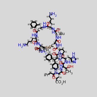 CC[C@H](C)[C@@H]1NC(=O)[C@@H](NC(=O)[C@@H]2CCCN2C(=O)[C@@H](NC(=O)[C@H](Cc2cnc[nH]2)NC(=O)[C@@H](NC(=O)[C@H](CCC(=O)O)NC(=O)CC(C)C)[C@@H](C)O)C(c2ccccc2)c2ccccc2)CSSC(C)(C)[C@@H](C(N)=O)NC(=O)[C@@H](CCCCN)NC(=O)C[C@H](Cc2ccccc2)NC(=O)[C@H](CCCCN)NC1=O